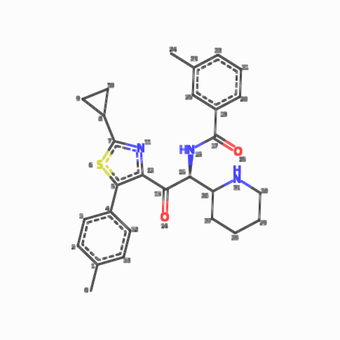 Cc1ccc(-c2sc(C3CC3)nc2C(=O)[C@@H](NC(=O)c2cccc(C)c2)C2CCCCN2)cc1